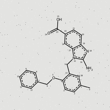 Cc1ccc(OCc2ccccc2)c(Cn2c(N)nc3ccc(C(=O)O)cc32)n1